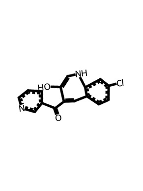 O=C(C1=Cc2ccc(Cl)cc2NC=C1O)c1cccnc1